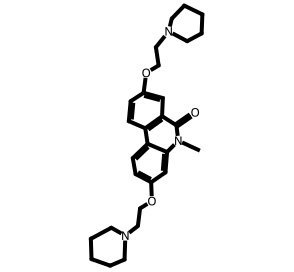 Cn1c(=O)c2cc(OCCN3CCCCC3)ccc2c2ccc(OCCN3CCCCC3)cc21